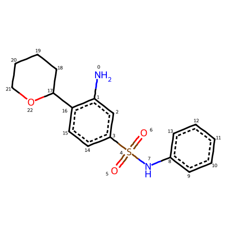 Nc1cc(S(=O)(=O)Nc2ccccc2)ccc1C1CCCCO1